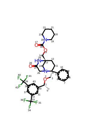 C[C@@H](OC[C@@]1(c2ccccc2)CC[C@]2(COC(=O)N3CCCCC3)CN1CC(=O)N2)c1cc(C(F)(F)F)cc(C(F)(F)F)c1